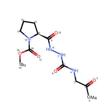 COC(=O)CNC(=O)NNC(=O)[C@@H]1CCCN1C(=O)OC(C)(C)C